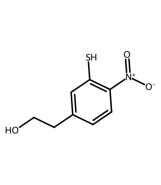 O=[N+]([O-])c1ccc(CCO)cc1S